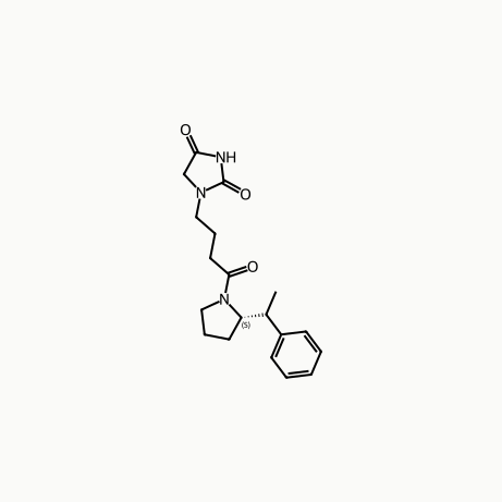 CC(c1ccccc1)[C@@H]1CCCN1C(=O)CCCN1CC(=O)NC1=O